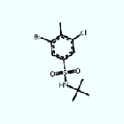 Cc1c(Cl)cc(S(=O)(=O)NC(C)(C)C)cc1Br